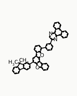 CC1(C)c2ccccc2-c2ccc(-c3cc4c5cccc(-c6cccc(-c7cnc8c9ccccc9c9ccccc9c8n7)c6)c5oc4c4c3oc3ccccc34)cc21